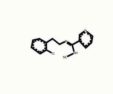 N#CN/C(=N\CCc1ccccc1Cl)c1cccnc1